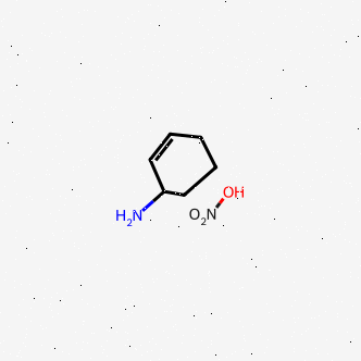 NC1C=CCCC1.O=[N+]([O-])O